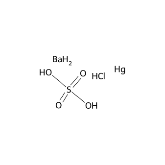 Cl.O=S(=O)(O)O.[BaH2].[Hg]